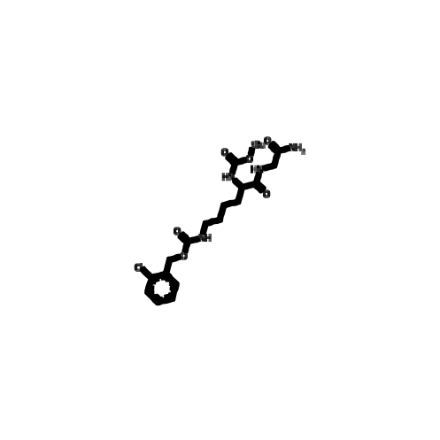 CC(C)(C)OC(=O)NC(CCCCNC(=O)OCc1ccccc1Cl)C(=O)NCC(N)=O